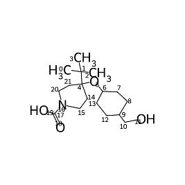 CC(C)(C)C1(OC2CCC(CO)CC2)CCN(C(=O)O)CC1